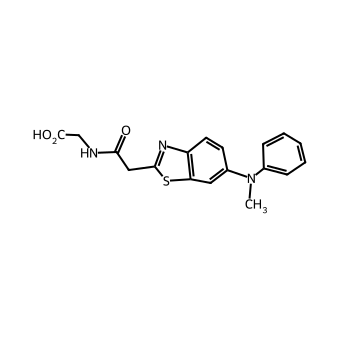 CN(c1ccccc1)c1ccc2nc(CC(=O)NCC(=O)O)sc2c1